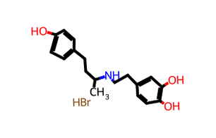 Br.CC(CCc1ccc(O)cc1)NCCc1ccc(O)c(O)c1